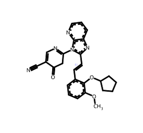 COc1cccc(/C=C/c2nc3cccnc3n2C2=NC=C(C#N)C(=O)C2)c1OC1CCCC1